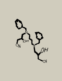 N#CCC(O)CN(CCCCN(Cc1ccccc1)CC(O)CC#N)Cc1ccccc1